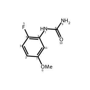 COc1ccc(F)c(NC(N)=O)c1